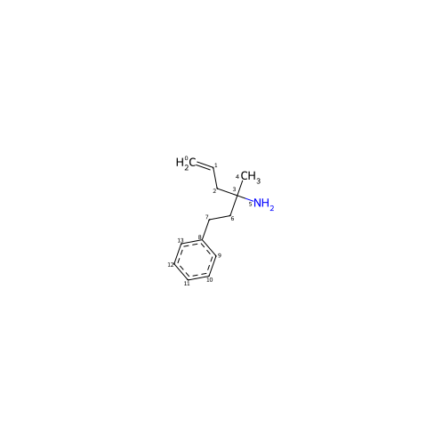 C=CCC(C)(N)CCc1ccccc1